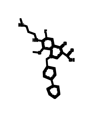 CNCCCNc1c(F)cc2c(=O)c(C(=O)O)cn(Cc3ccc(-c4ccccc4)cc3)c2c1OC